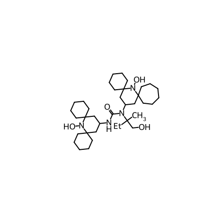 CCC(C)(CO)N(C(=O)NC1CC2(CCCCC2)N(O)C2(CCCCC2)C1)C1CC2(CCCCCC2)N(O)C2(CCCCC2)C1